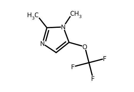 Cc1ncc(OC(F)(F)F)n1C